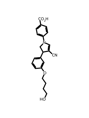 N#CC1=CN(c2ccc(C(=O)O)cc2)CC1c1cccc(OCCCCO)c1